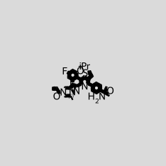 C=CC(=O)N1Cc2cc(-c3nc(-c4ccc(C5(N)COC5)cc4)c4ccsc4c3-c3c(F)cc(F)cc3OC(C)C)nn2[C@@H](C)C1